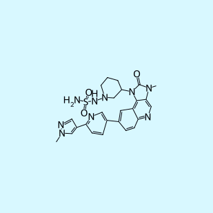 Cn1cc(-c2ccc(-c3ccc4ncc5c(c4c3)n(C3CCCN(NS(N)(=O)=O)C3)c(=O)n5C)cn2)cn1